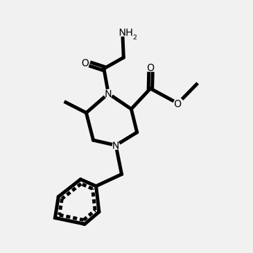 COC(=O)C1CN(Cc2ccccc2)CC(C)N1C(=O)CN